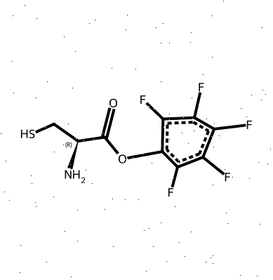 N[C@@H](CS)C(=O)Oc1c(F)c(F)c(F)c(F)c1F